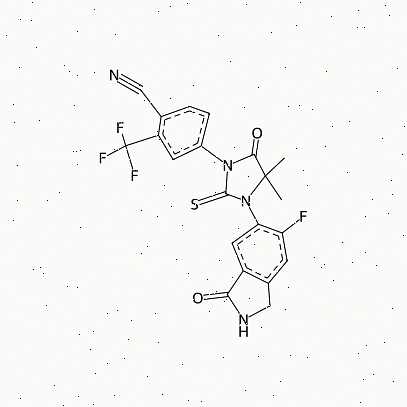 CC1(C)C(=O)N(c2ccc(C#N)c(C(F)(F)F)c2)C(=S)N1c1cc2c(cc1F)CNC2=O